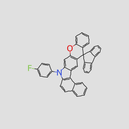 Fc1ccc(-n2c3cc4c(cc3c3c5ccccc5ccc32)C2(c3ccccc3O4)c3ccccc3-c3ccccc32)cc1